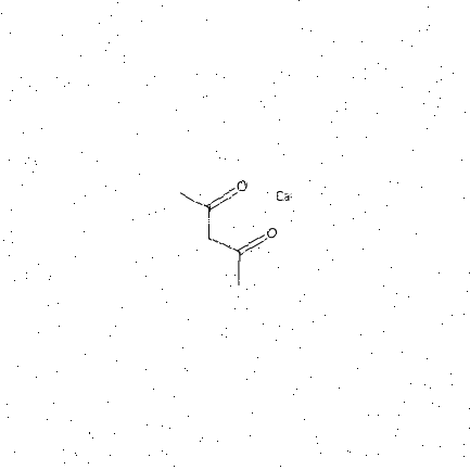 CC(=O)CC(C)=O.[Ca]